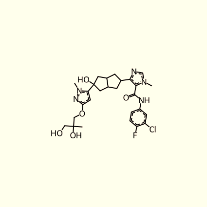 Cn1cnc(C2CC3CC(O)(c4cc(OCC(C)(O)CO)nn4C)CC3C2)c1C(=O)Nc1ccc(F)c(Cl)c1